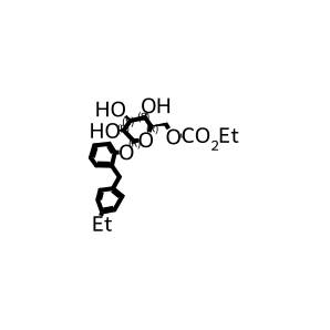 CCOC(=O)OC[C@H]1O[C@H](Oc2ccccc2Cc2ccc(CC)cc2)[C@H](O)[C@@H](O)[C@@H]1O